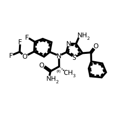 C[C@H](C(N)=O)N(c1ccc(F)c(OC(F)F)c1)c1nc(N)c(C(=O)c2ccccc2)s1